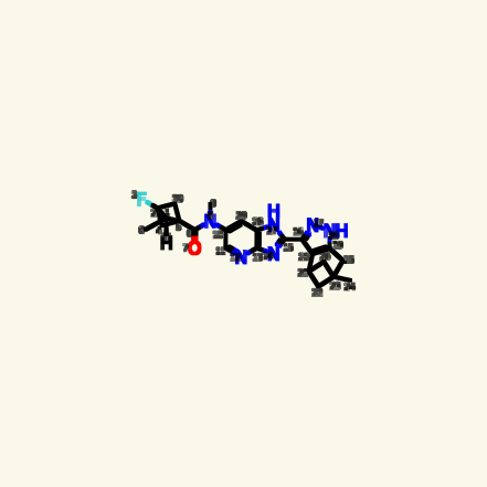 C[C@@H]1C2(F)CC1(C(=O)N(C)c1cnc3nc(-c4n[nH]c5c4C4CC(C)(C5)C4)[nH]c3c1)C2